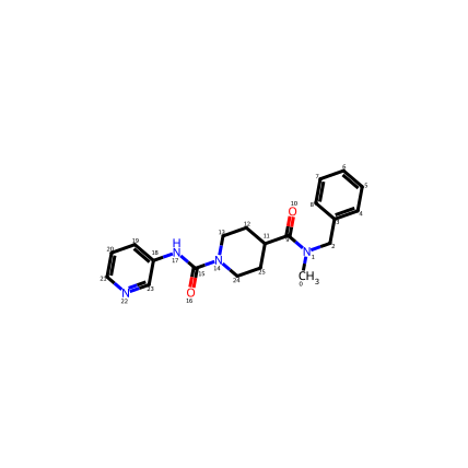 CN(Cc1ccccc1)C(=O)C1CCN(C(=O)Nc2cccnc2)CC1